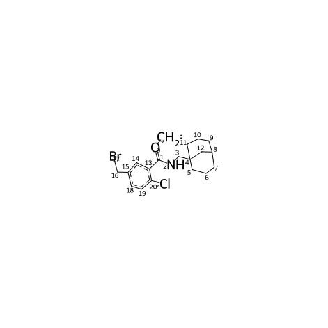 O=C(NCC12CCCC(CCC1)C2)c1cc(CBr)ccc1Cl.[CH2]